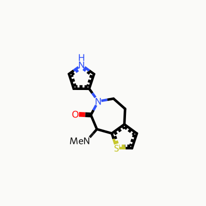 CNC1C(=O)N(c2cc[nH]c2)CCc2ccsc21